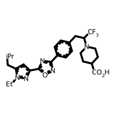 CCn1nc(-c2nc(-c3ccc(CC(N4CCC(C(=O)O)CC4)C(F)(F)F)cc3)no2)cc1CC(C)C